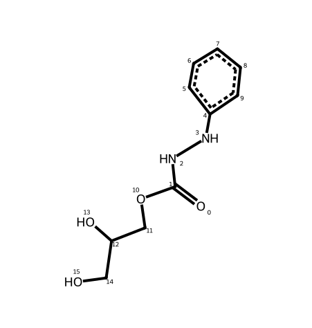 O=C(NNc1ccccc1)OCC(O)CO